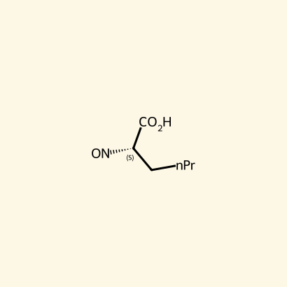 CCCC[C@H](N=O)C(=O)O